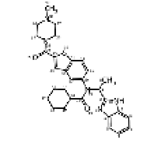 CC(c1nc2ccccc2[nH]1)N(C(=O)C1CCCCC1)c1ccc2sc(C(=O)N3CCN(C)CC3)cc2c1